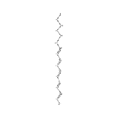 [CH2]C=CC=CC=CC=CC=CCCCCCC